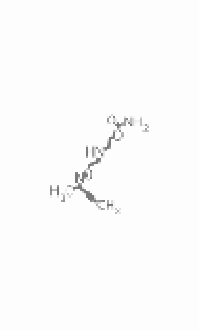 CC#C/C(C)=N\OCCNCCOC(N)=O